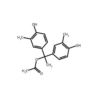 CC(=O)OC(C)(c1ccc(O)c(C)c1)c1ccc(O)c(C)c1